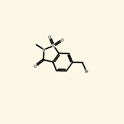 CN1C(=O)c2ccc(CBr)cc2S1(=O)=O